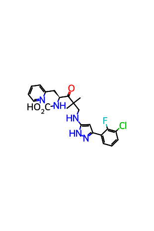 CC(C)(CNc1cc(-c2cccc(Cl)c2F)n[nH]1)C(=O)[C@H](Cc1ccccn1)NC(=O)O